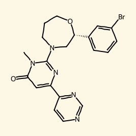 Cn1c(N2CCCO[C@H](c3cccc(Br)c3)C2)nc(-c2ccncn2)cc1=O